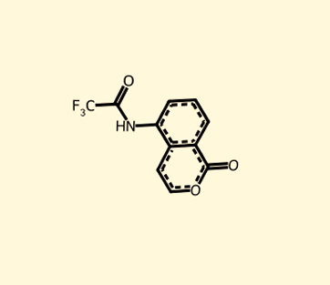 O=C(Nc1cccc2c(=O)occc12)C(F)(F)F